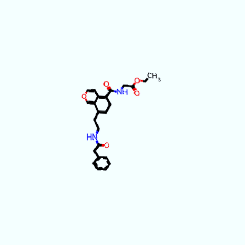 CCOC(=O)CNC(=O)C1=C2C=COC=C2C(CCNC(=O)Cc2ccccc2)CC1